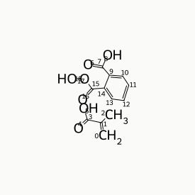 C=C(C)C(=O)O.O=C(O)c1ccccc1C(=O)OO